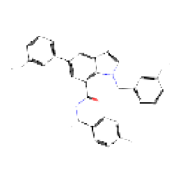 C[C@H](NC(=O)c1cc(-c2cccc(C#N)c2)cc2ccn(Cc3cccc(C(F)(F)F)c3)c12)c1ccc(C(=O)O)cc1